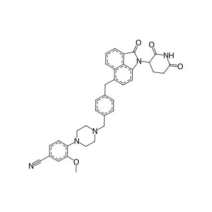 COc1cc(C#N)ccc1N1CCN(Cc2ccc(Cc3ccc4c5c(cccc35)C(=O)N4C3CCC(=O)NC3=O)cc2)CC1